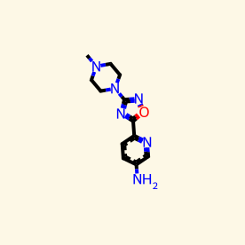 CN1CCN(c2noc(-c3ccc(N)cn3)n2)CC1